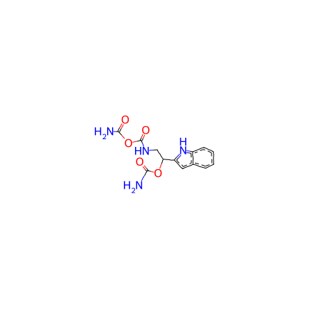 NC(=O)OC(=O)NCC(OC(N)=O)c1cc2ccccc2[nH]1